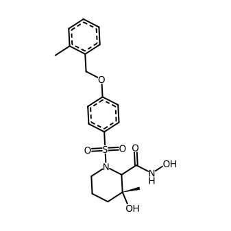 Cc1ccccc1COc1ccc(S(=O)(=O)N2CCC[C@@](C)(O)C2C(=O)NO)cc1